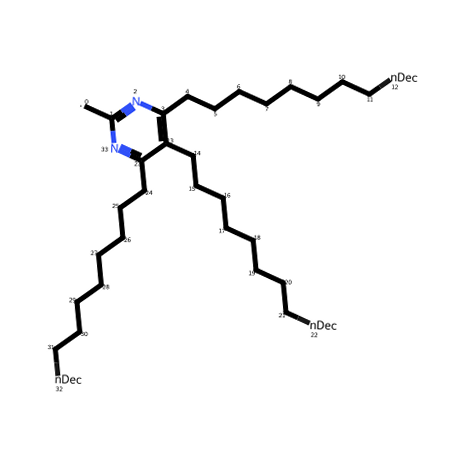 [CH2]c1nc(CCCCCCCCCCCCCCCCCC)c(CCCCCCCCCCCCCCCCCC)c(CCCCCCCCCCCCCCCCCC)n1